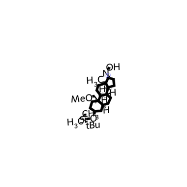 COC[C@]12CCC(O[Si](C)(C)C(C)(C)C)C[C@@H]1CC[C@@H]1[C@@H]2CC[C@]2(C)/C(=N/O)CC[C@@H]12